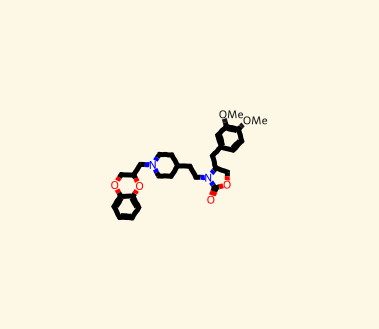 COc1ccc(CC2COC(=O)N2CCC2CCN(CC3COc4ccccc4O3)CC2)cc1OC